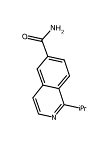 CC(C)c1nccc2cc(C(N)=O)ccc12